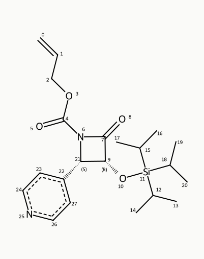 C=CCOC(=O)N1C(=O)[C@H](O[Si](C(C)C)(C(C)C)C(C)C)[C@@H]1c1ccncc1